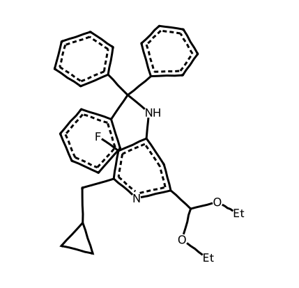 CCOC(OCC)c1cc(NC(c2ccccc2)(c2ccccc2)c2ccccc2)c(F)c(CC2CC2)n1